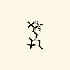 CCCN(CCN(C(C)(C)C)S(C)(=O)=O)C(C)C(C)(C)C